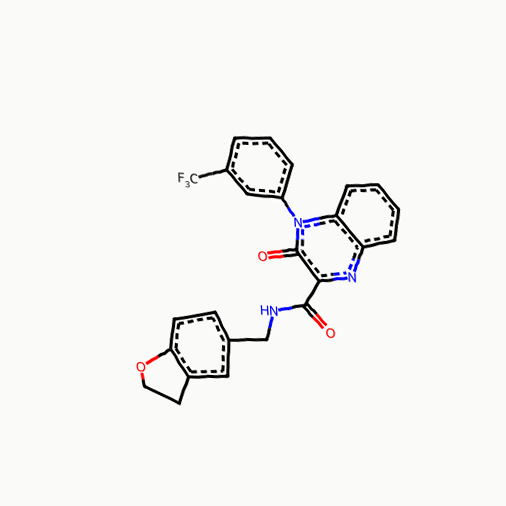 O=C(NCc1ccc2c(c1)CCO2)c1nc2ccccc2n(-c2cccc(C(F)(F)F)c2)c1=O